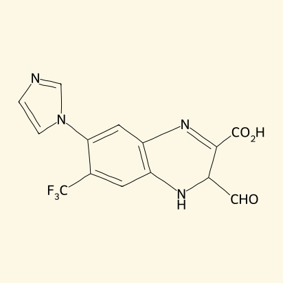 O=CC1Nc2cc(C(F)(F)F)c(-n3ccnc3)cc2N=C1C(=O)O